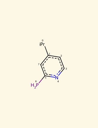 CC(C)c1ccnc(P)c1